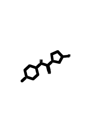 CN1CCC(NC(=O)N2CCC(F)C2)CC1